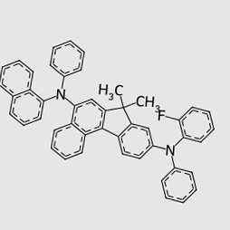 CC1(C)c2cc(N(c3ccccc3)c3ccccc3F)ccc2-c2c1cc(N(c1ccccc1)c1cccc3ccccc13)c1ccccc21